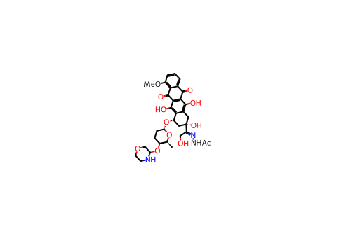 COc1cccc2c1C(=O)c1c(O)c3c(c(O)c1C2=O)C[C@@](O)(/C(CO)=N/NC(C)=O)C[C@@H]3O[C@H]1CC[C@H](O[C@@H]2COCCN2)[C@H](C)O1